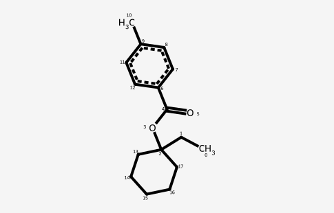 CCC1(OC(=O)c2ccc(C)cc2)CCCCC1